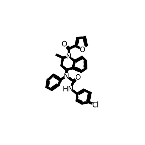 CC1CC(N(C(=O)Nc2ccc(Cl)cc2)c2ccccc2)c2ccccc2N1C(=O)c1ccco1